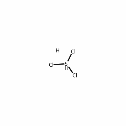 Cl[SiH](Cl)Cl.[H]